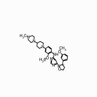 COc1cccc([C@H]2CCON2c2cc(Nc3ccc(N4CCC(N5CCN(C)CC5)CC4)cc3OC)ncn2)c1